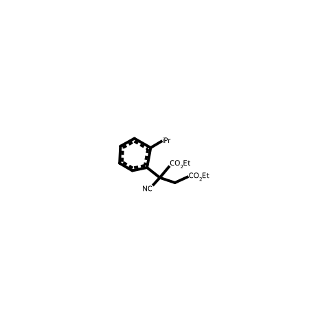 CCOC(=O)CC(C#N)(C(=O)OCC)c1ccccc1C(C)C